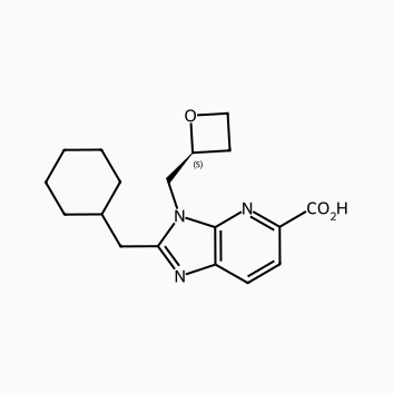 O=C(O)c1ccc2nc(CC3CCCCC3)n(C[C@@H]3CCO3)c2n1